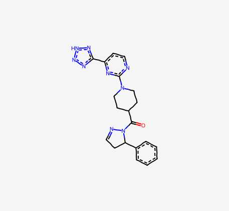 O=C(C1CCN(c2nccc(-c3nn[nH]n3)n2)CC1)N1N=CCC1c1ccccc1